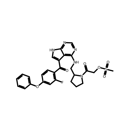 CS(=O)(=O)OCC(=O)N1CCCC1CNc1ncnc2[nH]cc(C(=O)c3ccc(Oc4ccccc4)cc3F)c12